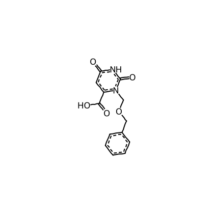 O=C(O)c1cc(=O)[nH]c(=O)n1COCc1ccccc1